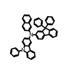 c1ccc(-n2c3ccccc3c3cc(N(c4ccc5c(c4)C(c4ccccc4)(c4ccccc4)c4ccccc4-5)c4ccc5ccccc5c4)ccc32)cc1